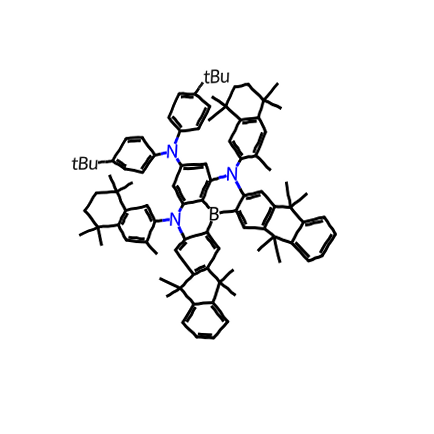 Cc1cc2c(cc1N1c3cc4c(cc3B3c5cc6c(cc5N(c5cc7c(cc5C)C(C)(C)CCC7(C)C)c5cc(N(c7ccc(C(C)(C)C)cc7)c7ccc(C(C)(C)C)cc7)cc1c53)C(C)(C)c1ccccc1C6(C)C)C(C)(C)c1ccccc1C4(C)C)C(C)(C)CCC2(C)C